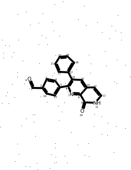 O=Cc1ccc(-c2nc3c(=O)[nH]ccc3cc2-c2ccccc2)cc1